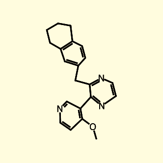 COc1ccncc1-c1nccnc1Cc1ccc2c(c1)CCCC2